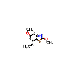 C=Cc1cc(OC)cc2nc(OC)sc12